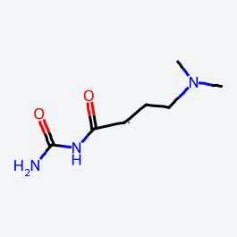 CN(C)CC[CH]C(=O)NC(N)=O